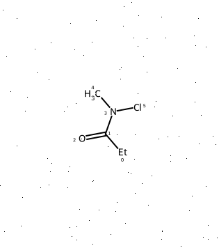 CCC(=O)N(C)Cl